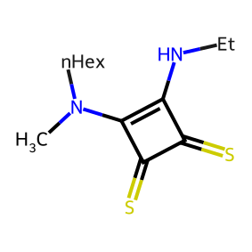 CCCCCCN(C)c1c(NCC)c(=S)c1=S